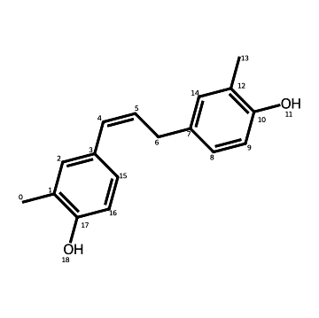 Cc1cc(/C=C\Cc2ccc(O)c(C)c2)ccc1O